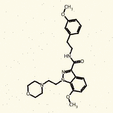 COc1cccc(CCNC(=O)c2nn(CCN3CCOCC3)c3c(OC)cccc23)c1